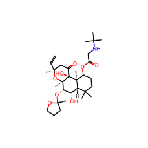 C=C[C@@]1(C)CC(=O)[C@]2(O)[C@@]3(C)[C@@H](OC(=O)CNC(C)(C)C)CCC(C)(C)[C@@H]3[C@H](O)[C@H](OC3(C)CCCO3)[C@@]2(C)O1